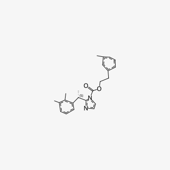 Cc1cccc(CCOC(=O)n2ccnc2[C@@H](C)c2cccc(C)c2C)c1